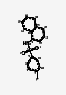 Cc1ccc(S(=O)(=O)Nc2cccc3ccccc23)cc1